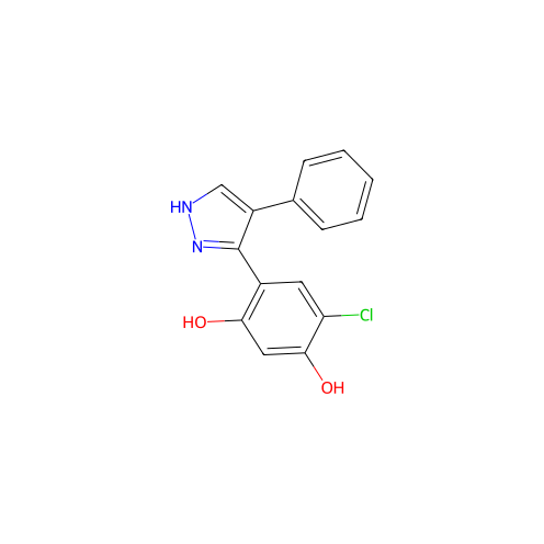 Oc1cc(O)c(-c2n[nH]cc2-c2ccccc2)cc1Cl